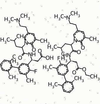 CCOC(=O)C[C@H](NC(=O)C(CC(C)C)n1cc(CCN(C)C)cc(C)c1=O)c1cc(-c2c(C)cccc2C)cc(C)c1F.Cc1cc(-c2c(C)cccc2C)cc([C@H](CC(=O)O)NC(=O)C(CC(C)C)n2cc(CCN(C)C)cc(C)c2=O)c1F